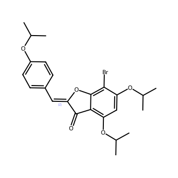 CC(C)Oc1ccc(/C=C2\Oc3c(Br)c(OC(C)C)cc(OC(C)C)c3C2=O)cc1